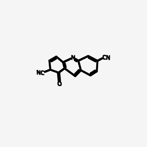 N#Cc1ccc2cc3c(nc2c1)C=CC(C#N)C3=O